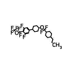 CCCC1CCC(C(F)(F)OC2CCC(c3cc(F)c(C(F)(F)OC(F)(F)F)c(F)c3)CC2)CC1